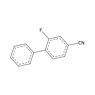 N#Cc1ccc(-c2ccccc2)c(F)c1